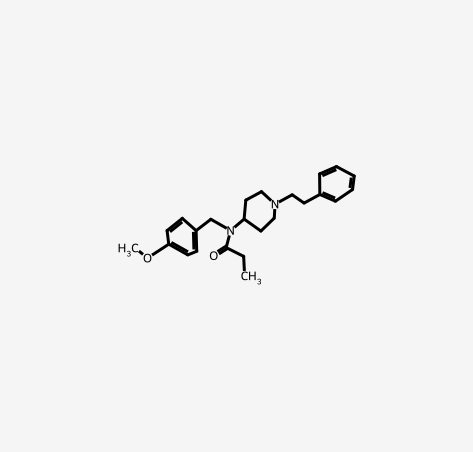 CCC(=O)N(Cc1ccc(OC)cc1)C1CCN(CCc2ccccc2)CC1